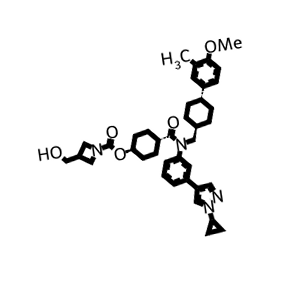 COc1ccc([C@H]2CC[C@H](CN(c3cccc(-c4cnn(C5CC5)c4)c3)C(=O)[C@H]3CC[C@H](OC(=O)N4CC(CO)C4)CC3)CC2)cc1C